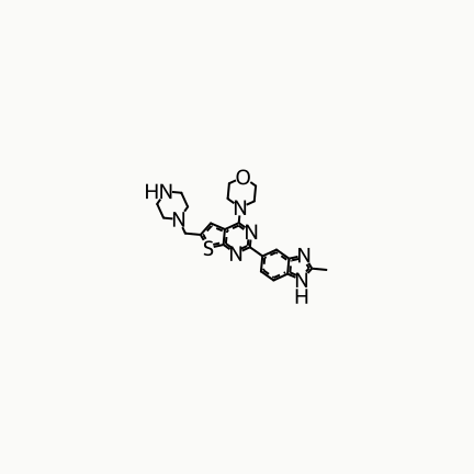 Cc1nc2cc(-c3nc(N4CCOCC4)c4cc(CN5CCNCC5)sc4n3)ccc2[nH]1